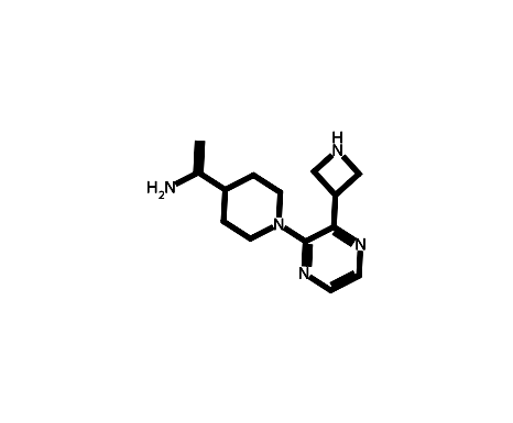 C=C(N)C1CCN(c2nccnc2C2CNC2)CC1